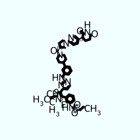 CCCS(=O)(=O)Nc1cccc(-c2nc(C(C)(C)C)sc2-c2ccnc(Nc3cccc(C4CCN(C(=O)[C@@H]5CCN(c6ccc([C@@H]7CCC(=O)NC7=O)cn6)C5)CC4)c3)n2)c1F